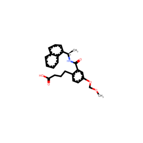 COCOc1ccc(CCCC(=O)O)c(C(=O)N[C@H](C)c2cccc3ccccc23)c1